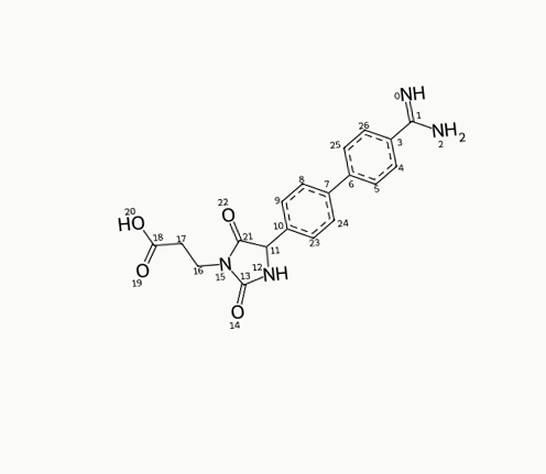 N=C(N)c1ccc(-c2ccc(C3NC(=O)N(CCC(=O)O)C3=O)cc2)cc1